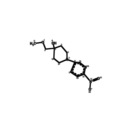 COCC1(O)CCN(c2ccc([N+](=O)[O-])nc2)CC1